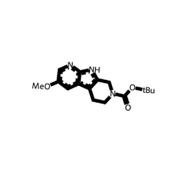 COc1cnc2[nH]c3c(c2c1)CCN(C(=O)OC(C)(C)C)C3